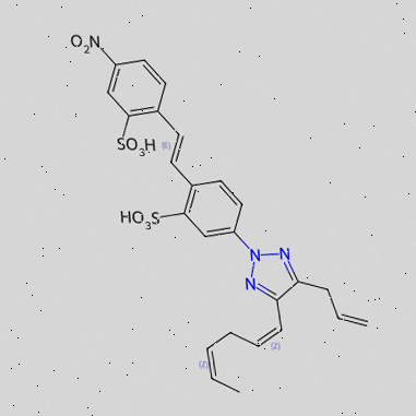 C=CCc1nn(-c2ccc(/C=C/c3ccc([N+](=O)[O-])cc3S(=O)(=O)O)c(S(=O)(=O)O)c2)nc1/C=C\C/C=C\C